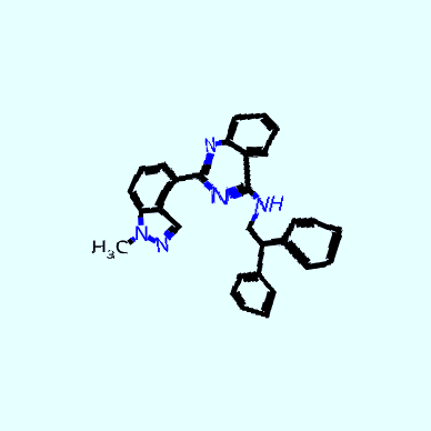 Cn1ncc2c(-c3nc(NCC(c4ccccc4)c4ccccc4)c4ccccc4n3)cccc21